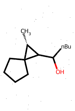 CCCCC(O)C1[C@@H](C)C12CCCC2